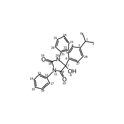 CC(C)c1ccc(C2(O)C(=O)N(c3ccccc3)C(=O)N2c2ccccc2)cc1